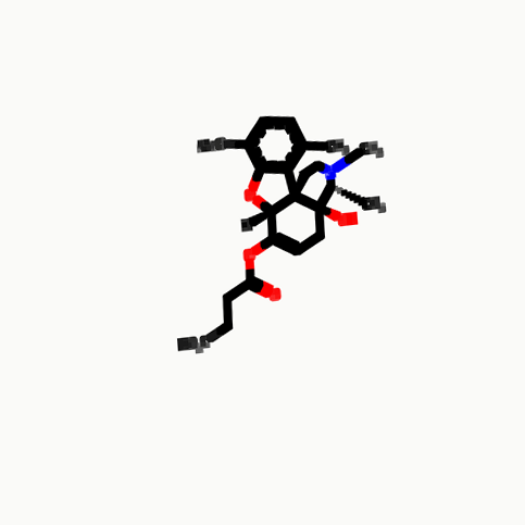 COc1ccc(C)c2c1O[C@H]1C(OC(=O)CCC(=O)O)=CC[C@@]3(O)[C@@H](C)N(C)CC[C@]213